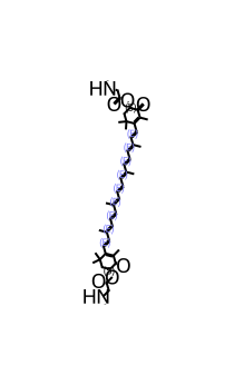 CNCC(=O)O[C@H]1CC(C)(C)C(/C=C/C(C)=C/C=C/C(C)=C/C=C/C=C(C)/C=C/C=C(C)/C=C/C2=C(C)C(=O)[C@@H](OC(=O)CNC)CC2(C)C)=C(C)C1=O